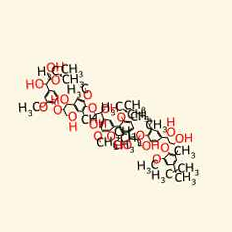 COc1cc(C(O)C(CO)OC(C)(C)C)ccc1OC(CO)C(O)c1cc(C)c(OC(CO)C(O)c2cc(OC)c(OC(C)(C)C)c(-c3cc(C(O)C(CO)Oc4ccc(C(O)C(CO)Oc5c(C)cc(C(C)(C)C)cc5OC)cc4C)cc(C)c3OC(C)(C)C)c2)c(OC)c1